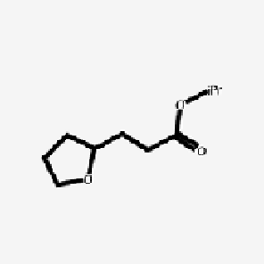 CC(C)OC(=O)CCC1CCCO1